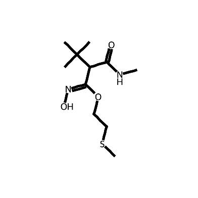 CNC(=O)C(C(=NO)OCCSC)C(C)(C)C